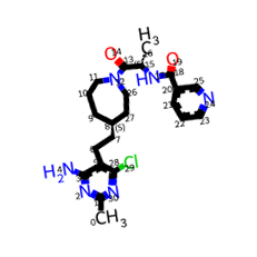 Cc1nc(N)c(CC[C@H]2CCCN(C(=O)[C@H](C)NC(=O)c3cccnc3)CC2)c(Cl)n1